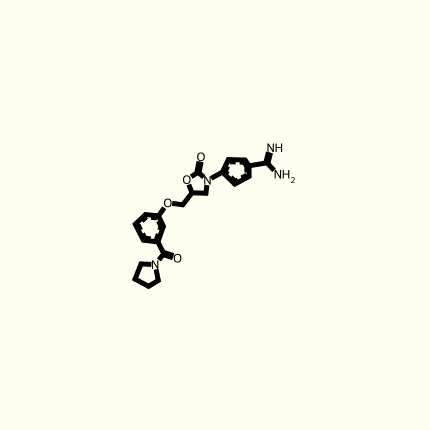 N=C(N)c1ccc(N2CC(COc3cccc(C(=O)N4CCCC4)c3)OC2=O)cc1